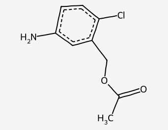 CC(=O)OCc1cc(N)ccc1Cl